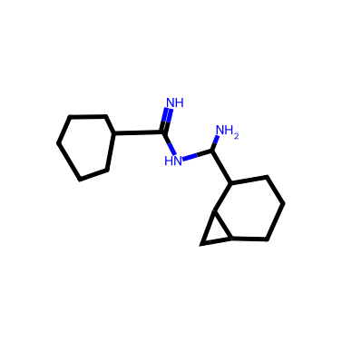 N=C(NC(N)C1CCCC2CC21)C1CCCCC1